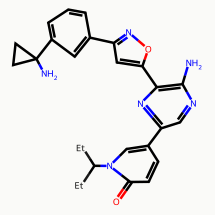 CCC(CC)n1cc(-c2cnc(N)c(-c3cc(-c4cccc(C5(N)CC5)c4)no3)n2)ccc1=O